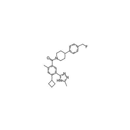 Cc1nnc(-c2cc(C(=O)N3CCC(c4ccc(CF)cc4)CC3)c(C)cc2C2CCC2)[nH]1